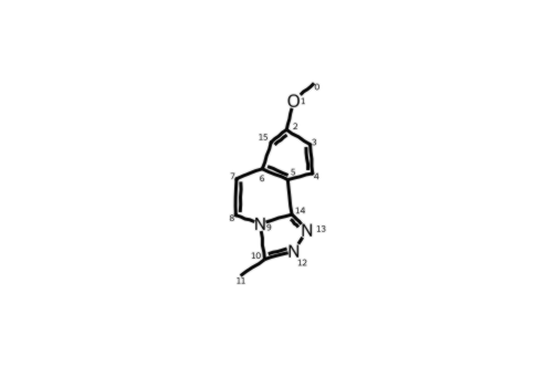 COc1ccc2c(ccn3c(C)nnc23)c1